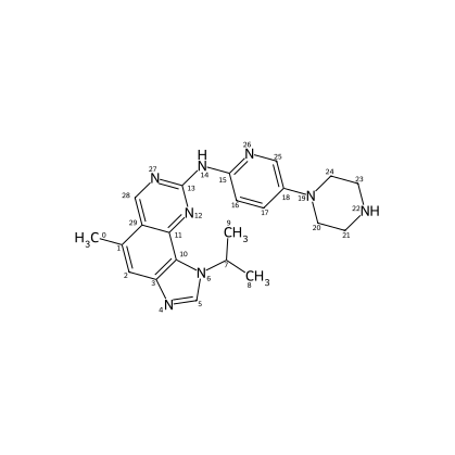 Cc1cc2ncn(C(C)C)c2c2nc(Nc3ccc(N4CCNCC4)cn3)ncc12